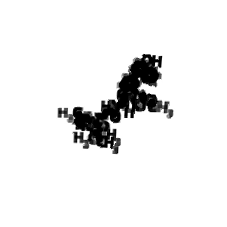 COC(=O)C[C@H](NC(=O)CNC(=O)CCCN(C(=O)OC(C)(C)C)c1cc(C)ccn1)c1cccc(-c2ccc(O)c3ccccc23)c1